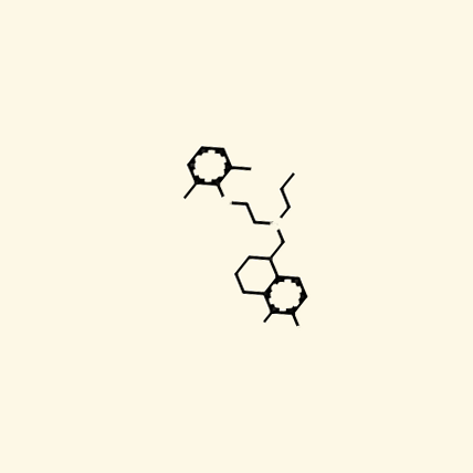 CCCN(CCOc1c(C)cccc1C)CC1CCCc2c1ccc(O)c2O